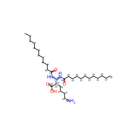 CCCCCCCCCCCC(=O)NN(NC(=O)CCCCCCCCCCC)[C@@H](CCCCN)C(=O)O